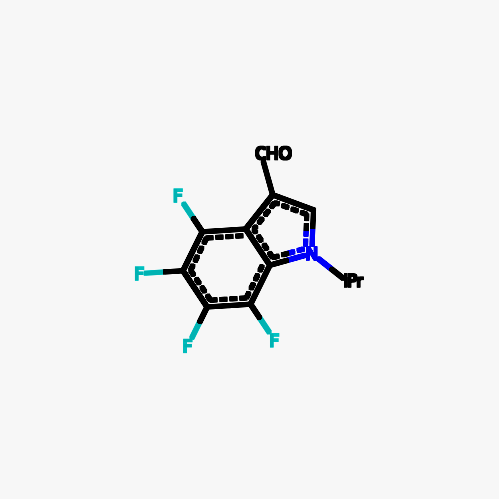 CC(C)n1cc(C=O)c2c(F)c(F)c(F)c(F)c21